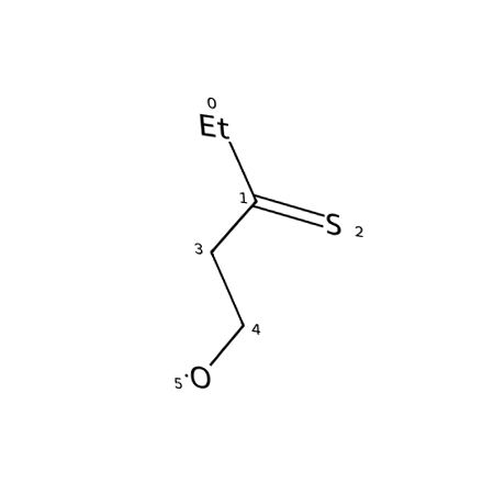 CCC(=S)CC[O]